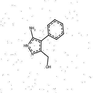 Nc1[nH]nc(CO)c1-c1ccccc1